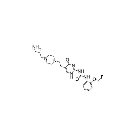 NCCCN1CCN(CCc2c[nH]c(NC(=O)Nc3ccccc3OCF)nc2=O)CC1